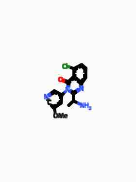 COc1cncc(-n2c(C(C)N)nc3cccc(Cl)c3c2=O)c1